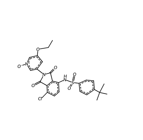 CCOc1cc(N2C(=O)c3c(Cl)ccc(NS(=O)(=O)c4ccc(C(C)(C)C)cc4)c3C2=O)c[n+]([O-])c1